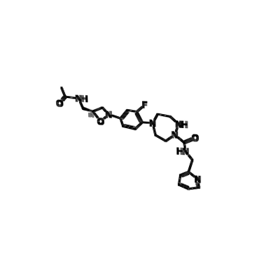 CC(=O)NC[C@H]1CN(c2ccc(N3CCNN(C(=O)NCc4ccccn4)CC3)c(F)c2)O1